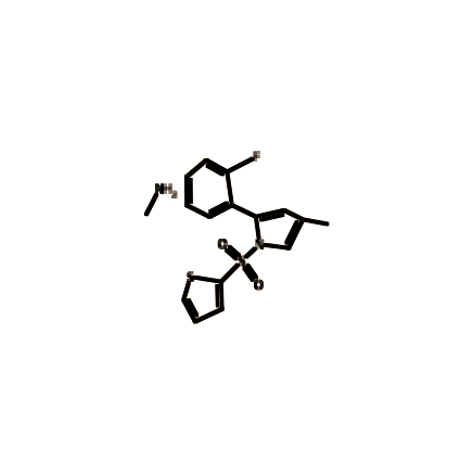 CN.Cc1cc(-c2ccccc2F)n(S(=O)(=O)c2cccs2)c1